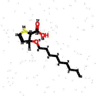 CCCCCCCCCOC1(C)C=CSC1C(=O)O